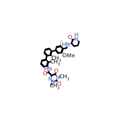 COc1cc(-c2cccc(-c3cccc(NC(=O)c4nn(C)c(=O)n(C)c4=O)c3C)c2C)cc(F)c1CN[C@H]1CCCNC1=O